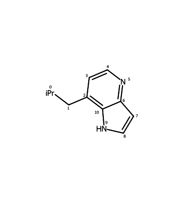 CC(C)Cc1ccnc2cc[nH]c12